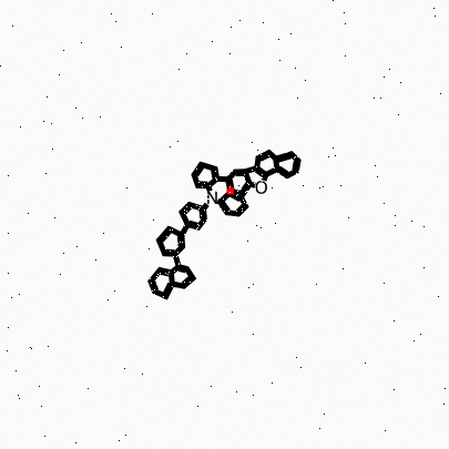 c1ccc(N(c2ccc(-c3cccc(-c4cccc5ccccc45)c3)cc2)c2ccccc2-c2ccc3oc4c5ccccc5ccc4c3c2)cc1